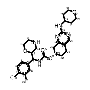 O=C(NC(c1ccc(Cl)c(F)c1)C1CNCCO1)ON1CCc2cnc(NC3CCOCC3)nc2C1